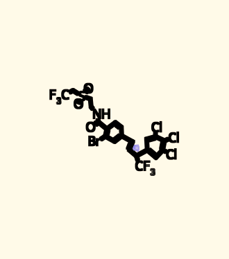 O=C(NCCS(=O)(=O)CC(F)(F)F)c1ccc(/C=C/C(c2cc(Cl)c(Cl)c(Cl)c2)C(F)(F)F)cc1Br